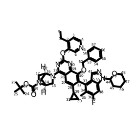 CCc1ccncc1Oc1nc(N2C[C@@H]3C[C@H]2CN3C(=O)OC(C)(C)C)c2cc(C3CC3)c(-c3c(C)c(F)cc4c3cnn4C3CCCCO3)c(OCc3ccccc3)c2n1